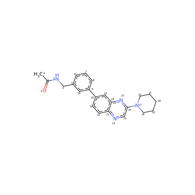 CC(=O)NCc1cccc(-c2ccc3ncc(N4CCCCC4)nc3c2)c1